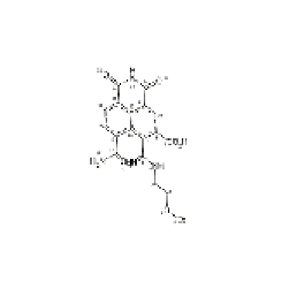 CCOCCNC(=N)c1c(C(=O)O)cc2c3c(ccc(C(N)=O)c13)C(=O)NC2=O